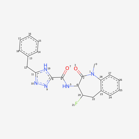 CN1C(=O)C(NC(=O)c2nnc(Cc3ccccc3)[nH]2)C(F)Cc2ccccc21